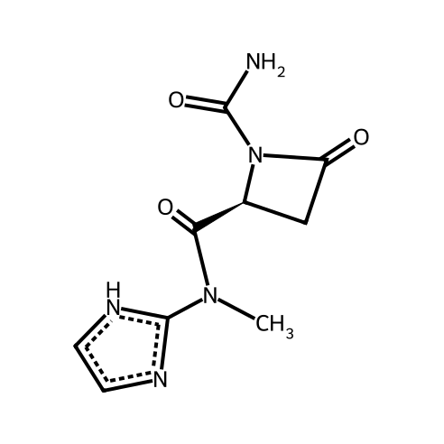 CN(C(=O)[C@@H]1CC(=O)N1C(N)=O)c1ncc[nH]1